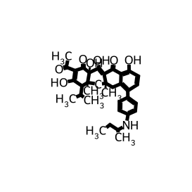 CCC(C)Nc1ccc(-c2ccc(O)c3c2C[C@]2(C)C[C@]4(C)C(C(C)C)C(O)=C(C(C)=O)C(=O)[C@]4(O)C(O)=C2C3=O)cc1